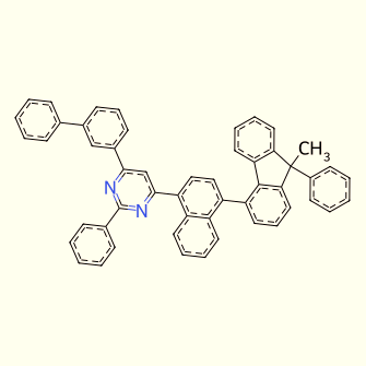 CC1(c2ccccc2)c2ccccc2-c2c(-c3ccc(-c4cc(-c5cccc(-c6ccccc6)c5)nc(-c5ccccc5)n4)c4ccccc34)cccc21